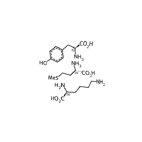 CSCC[C@H](N)C(=O)O.NCCCC[C@H](N)C(=O)O.N[C@@H](Cc1ccc(O)cc1)C(=O)O